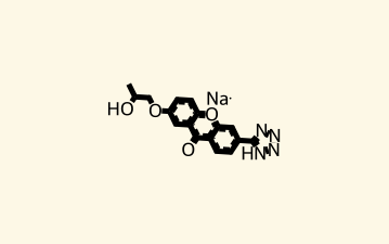 CC(O)COc1ccc2oc3cc(-c4nnn[nH]4)ccc3c(=O)c2c1.[Na]